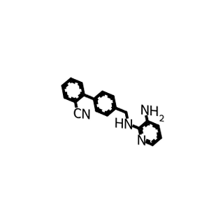 N#Cc1ccccc1-c1ccc(CNc2ncccc2N)cc1